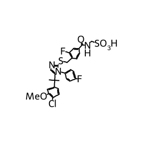 COc1cc(C(C)(C)c2cnc(SCc3ccc(C(=O)NCS(=O)(=O)O)cc3F)n2-c2ccc(F)cc2)ccc1Cl